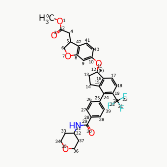 COC(=O)CC1COc2cc(O[C@@H]3CCc4c3ccc(C(F)(F)F)c4-c3ccc(C(=O)NC4CCOCC4)cc3)ccc21